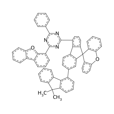 CC1(C)c2ccccc2-c2c(-c3ccc4c(c3)C3(c5ccccc5Oc5ccccc53)c3cccc(-c5nc(-c6ccccc6)nc(-c6cccc7c6oc6ccccc67)n5)c3-4)cccc21